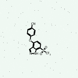 N#Cc1ccc(Oc2ccc(S(=O)(=O)C(F)(F)F)c3[nH]ncc23)cc1